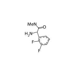 CNC(=O)C(N)c1cccc(F)c1F